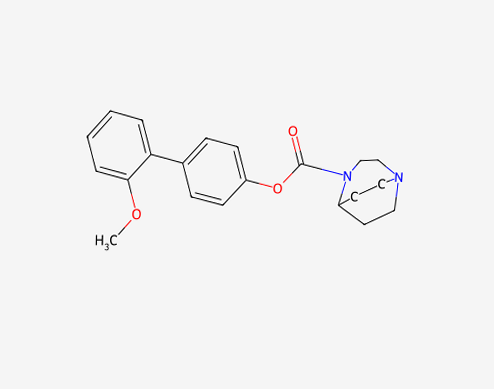 COc1ccccc1-c1ccc(OC(=O)N2CCN3CCC2CC3)cc1